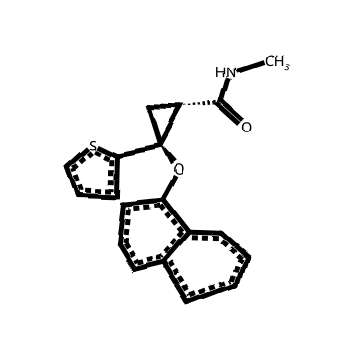 CNC(=O)[C@H]1C[C@@]1(Oc1cccc2ccccc12)c1cccs1